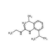 CCNC(=O)Nc1c(C(C)C)cccc1C(C)C